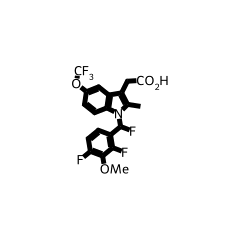 COc1c(F)ccc(C(F)n2c(C)c(CC(=O)O)c3cc(OC(F)(F)F)ccc32)c1F